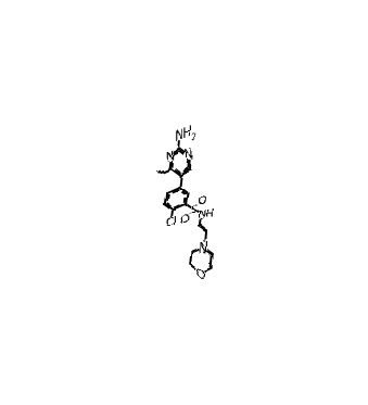 Cc1nc(N)ncc1-c1ccc(Cl)c(S(=O)(=O)NCCN2CCOCC2)c1